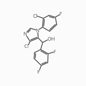 OC(c1ccc(F)cc1F)c1c(Cl)ncn1-c1ccc(F)cc1Cl